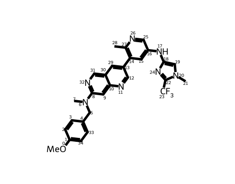 COc1ccc(CN(C)c2cc3ncc(-c4cc(Nc5cn(C)c(C(F)(F)F)n5)cnc4C)cc3cn2)cc1